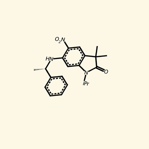 CC(C)N1C(=O)C(C)(C)c2cc([N+](=O)[O-])c(N[C@@H](C)c3ccccc3)cc21